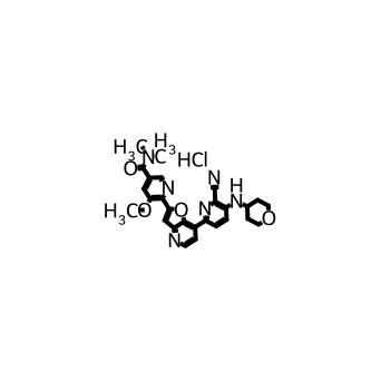 COc1cc(C(=O)N(C)C)cnc1-c1cc2nccc(-c3ccc(NC4CCOCC4)c(C#N)n3)c2o1.Cl